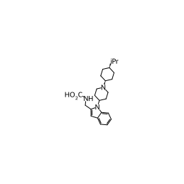 CC(C)[C@H]1CC[C@@H](N2CCC(n3c(CNC(=O)O)cc4ccccc43)CC2)CC1